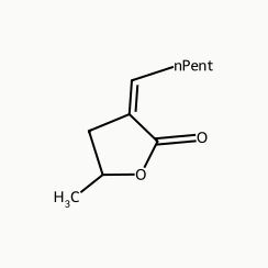 CCCCCC=C1CC(C)OC1=O